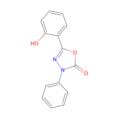 O=c1oc(-c2ccccc2O)nn1-c1ccccc1